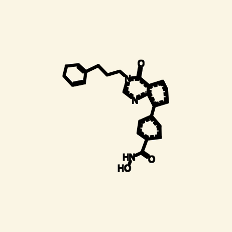 O=C(NO)c1ccc(-c2cccc3c(=O)n(CCCC4=CCCC=C4)cnc23)cc1